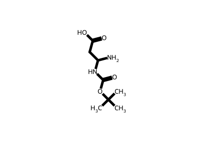 CC(C)(C)OC(=O)NC(N)CC(=O)O